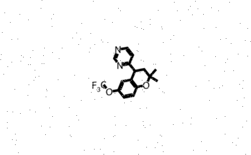 CC1(C)CC(c2ccncn2)c2cc(OC(F)(F)F)ccc2O1